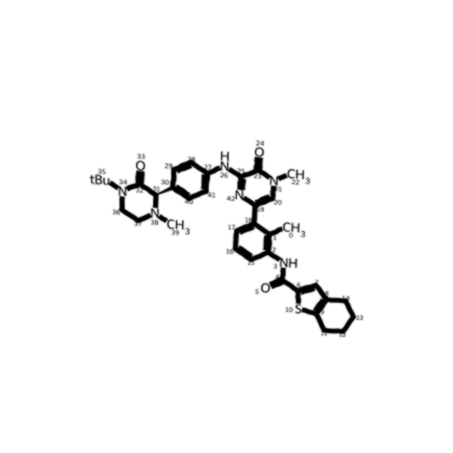 Cc1c(NC(=O)c2cc3c(s2)CCCC3)cccc1-c1cn(C)c(=O)c(Nc2ccc([C@@H]3C(=O)N(C(C)(C)C)CCN3C)cc2)n1